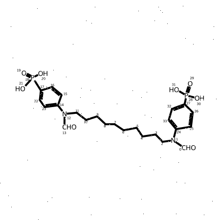 O=CN(CCCCCCCCCCN(C=O)c1ccc(P(=O)(O)O)cc1)c1ccc(P(=O)(O)O)cc1